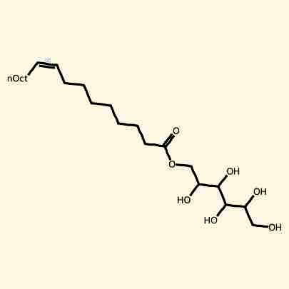 CCCCCCCC/C=C\CCCCCCCC(=O)OCC(O)C(O)C(O)C(O)CO